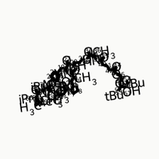 CC[C@H](C)[C@@H]([C@@H](CC(=O)N1CCC[C@H]1[C@H](OC)[C@@H](C)C(=O)N[C@@H](Cc1ccccc1)C(=O)NCCCOC(=O)[C@H](C)NC(=O)CCCC(=O)OCC(OC(CO)CC(C)(C)C)OC(C)(C)C)OC)N(C)C(=O)[C@@H](NC(=O)[C@H](C(C)C)N(C)C)C(C)C